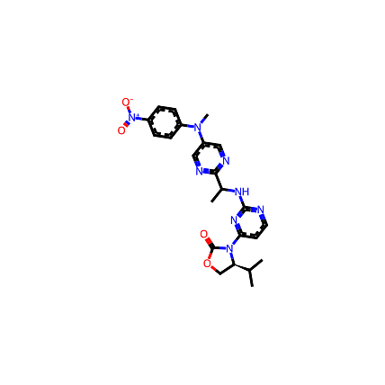 CC(Nc1nccc(N2C(=O)OC[C@@H]2C(C)C)n1)c1ncc(N(C)c2ccc([N+](=O)[O-])cc2)cn1